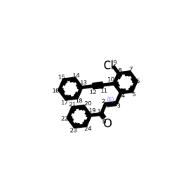 O=C(/C=C/c1cccc(Cl)c1C#Cc1ccccc1)c1ccccc1